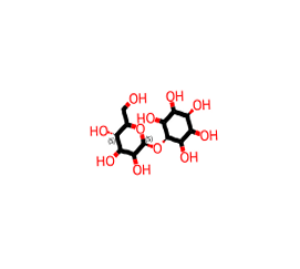 OCC1O[C@@H](O[C@H]2C(O)C(O)[C@H](O)C(O)C2O)C(O)C(O)[C@@H]1O